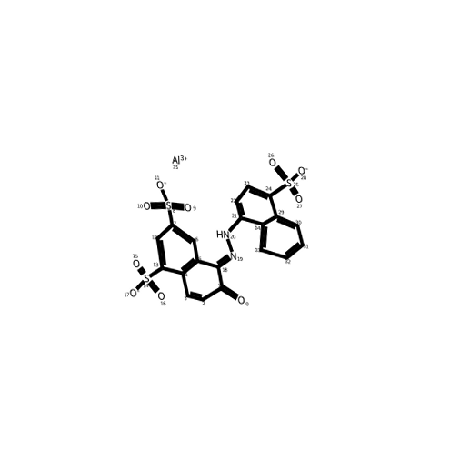 O=C1C=Cc2c(cc(S(=O)(=O)[O-])cc2S(=O)(=O)[O-])/C1=N\Nc1ccc(S(=O)(=O)[O-])c2ccccc12.[Al+3]